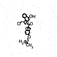 CN(C)CCOc1ccc2oc(C(=O)N3C[C@@H](CCl)c4c3cc(O)c3ccccc43)cc2c1